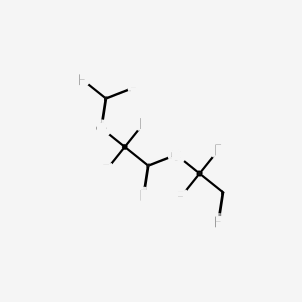 FCC(F)(F)OC(F)C(F)(F)OC(F)F